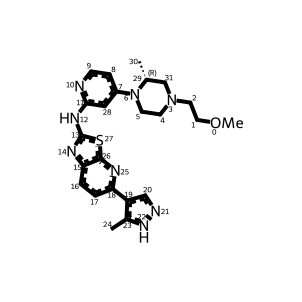 COCCN1CCN(c2ccnc(Nc3nc4ccc(-c5cn[nH]c5C)nc4s3)c2)[C@H](C)C1